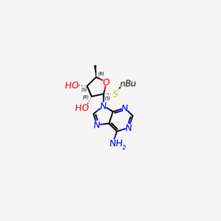 CCCCS[C@@]1(n2cnc3c(N)ncnc32)O[C@H](C)[C@@H](O)[C@H]1O